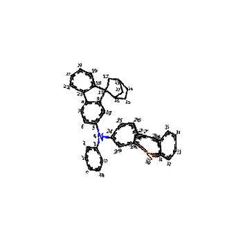 c1ccc(N(c2ccc3c(c2)C2(CC4CCC2C4)c2ccccc2-3)c2ccc3c(c2)sc2ccccc23)cc1